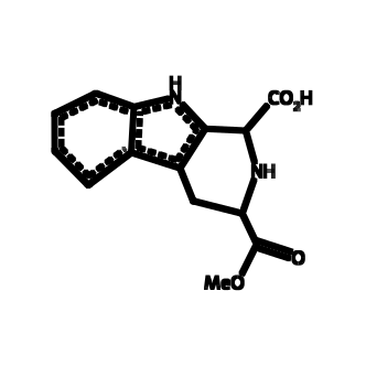 COC(=O)C1Cc2c([nH]c3ccccc23)C(C(=O)O)N1